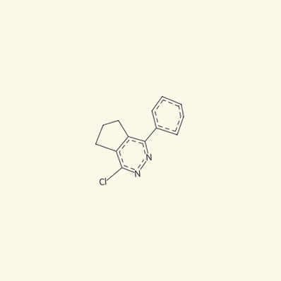 Clc1nnc(-c2ccccc2)c2c1CCC2